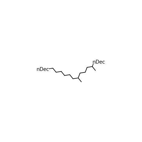 CCCCCCCCCCCCCCCCC(C)CCCC(C)CCCCCCCCCC